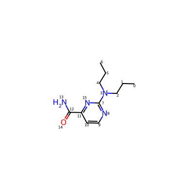 CCCN(CCC)c1nccc(C(N)=O)n1